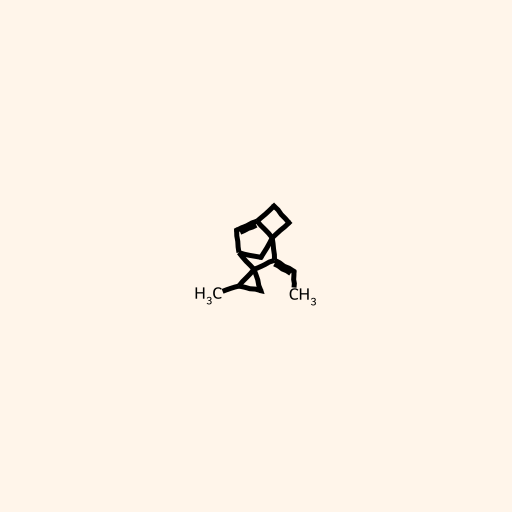 CC=C1C23CCC2=CC(C3)C12CC2C